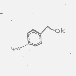 CNc1ccc(COC(C)=O)cc1